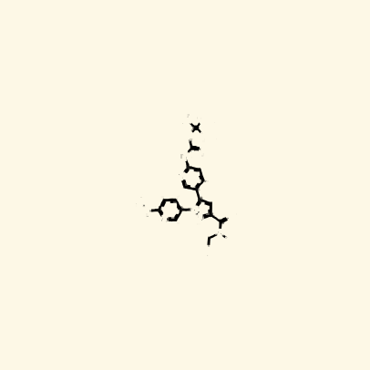 CCN(C)C(=O)c1cc(-c2ccc(NC(=O)OC(C)(C)C)nc2)n(-c2ccc(OC)nc2)n1